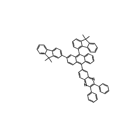 CC1(C)c2ccccc2-c2ccc(-c3ccc4c(-c5ccc6nc(-c7ccccc7)c(-c7ccccc7)nc6c5)c5ccccc5c(-c5cccc6c5-c5ccccc5C6(C)C)c4c3)cc21